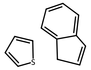 C1=Cc2ccccc2C1.c1ccsc1